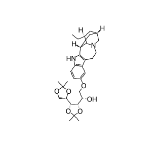 CC[C@H]1C[C@H]2C[C@H]3c4[nH]c5ccc(OC[C@H](O)[C@@H]6OC(C)(C)O[C@@H]6[C@H]6COC(C)(C)O6)cc5c4CCN(C2)C13